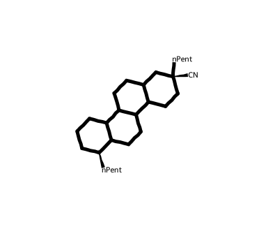 CCCCC[C@H]1CCCC2C3CCC4C[C@](C#N)(CCCCC)CCC4C3CCC21